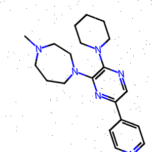 CN1CCCN(c2nc(-c3ccncc3)cnc2N2CCCCC2)CC1